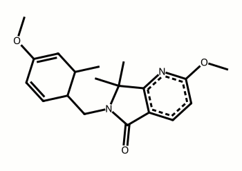 COC1=CC(C)C(CN2C(=O)c3ccc(OC)nc3C2(C)C)C=C1